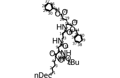 CCCCCCCCCCCCCCNC(=O)C(CC(=O)NCCC(=O)N[C@@H](CCC(=O)OCc1ccccc1)C(=O)OCc1ccccc1)NC(=O)OC(C)(C)C